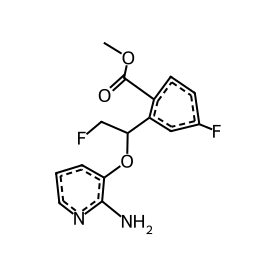 COC(=O)c1ccc(F)cc1C(CF)Oc1cccnc1N